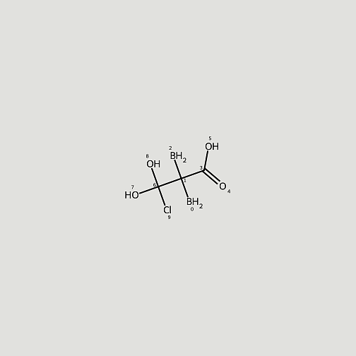 BC(B)(C(=O)O)C(O)(O)Cl